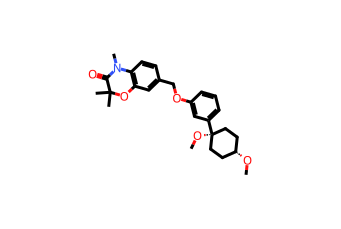 CO[C@H]1CC[C@](OC)(c2cccc(OCc3ccc4c(c3)OC(C)(C)C(=O)N4C)c2)CC1